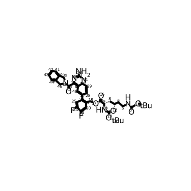 CC(C)(C)OC(=O)NCCCC[C@H](NC(=O)OC(C)(C)C)C(=O)OCc1cc(F)c(F)cc1-c1ccc2nc(N)nc(C(=O)N3Cc4ccccc4C3)c2c1